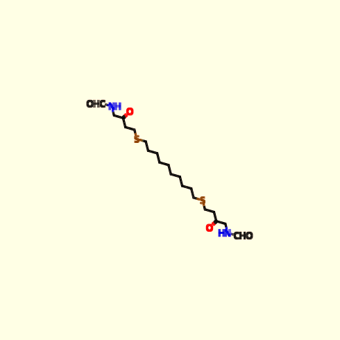 O=CNCC(=O)CCSCCCCCCCCCCSCCC(=O)CNC=O